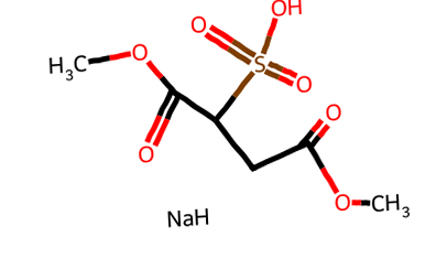 COC(=O)CC(C(=O)OC)S(=O)(=O)O.[NaH]